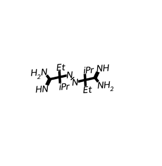 CCC(N=NC(CC)(C(=N)N)C(C)C)(C(=N)N)C(C)C